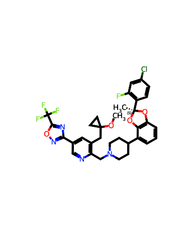 COC1(Cc2cc(-c3noc(C(F)(F)F)n3)cnc2CN2CCC(c3cccc4c3O[C@@](C)(c3ccc(Cl)cc3F)O4)CC2)CC1